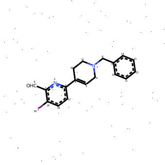 O=Cc1nc(C2=CCN(Cc3ccccc3)CC2)ccc1I